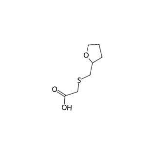 O=C(O)CSCC1CCCO1